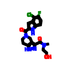 CN(CCO)C(=O)c1n[nH]c2c1CN(C(=O)c1cc3c(Cl)c(F)ccc3[nH]1)CC2